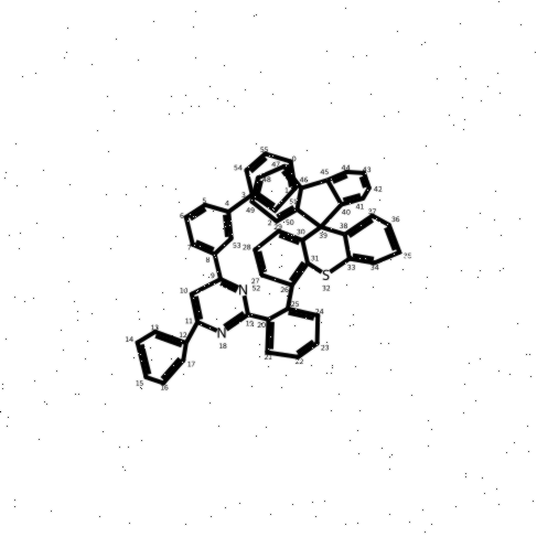 c1ccc(-c2cccc(-c3cc(-c4ccccc4)nc(-c4ccccc4-c4cccc5c4Sc4ccccc4C54c5ccccc5-c5ccccc54)n3)c2)cc1